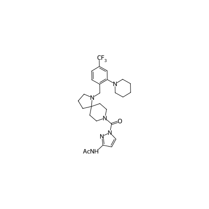 CC(=O)Nc1ccn(C(=O)N2CCC3(CCCN3Cc3ccc(C(F)(F)F)cc3N3CCCCC3)CC2)n1